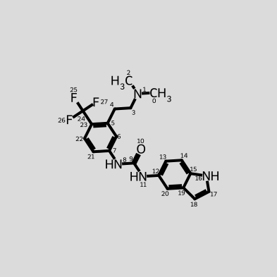 CN(C)CCc1cc(NC(=O)Nc2ccc3[nH]ccc3c2)ccc1C(F)(F)F